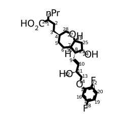 CCCC(CC[C@@H]1CC[C@@H]2[C@@H](/C=C/[C@@H](O)COc3cc(F)ccc3F)[C@@H](O)C[C@@H]2OC1)C(=O)O